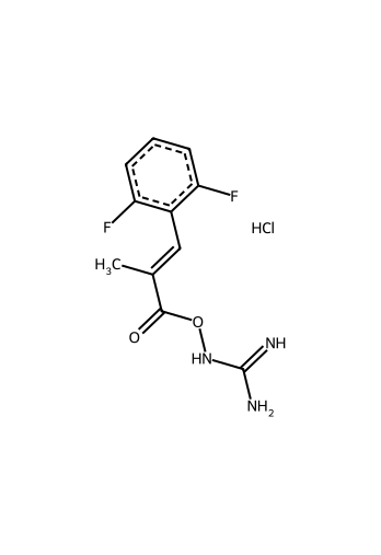 C/C(=C\c1c(F)cccc1F)C(=O)ONC(=N)N.Cl